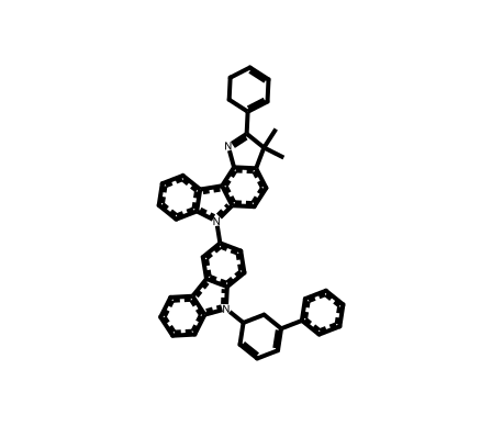 CC1(C)C(C2=CC=CCC2)=Nc2c1ccc1c2c2ccccc2n1-c1ccc2c(c1)c1ccccc1n2C1C=CC=C(c2ccccc2)C1